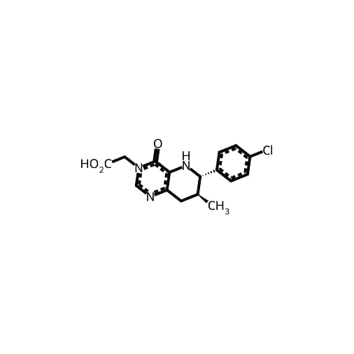 C[C@H]1Cc2ncn(CC(=O)O)c(=O)c2N[C@@H]1c1ccc(Cl)cc1